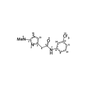 CNc1nc(CC(=O)Nc2cccc(C(F)(F)F)c2)cs1